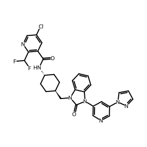 O=C(N[C@H]1CC[C@H](Cn2c(=O)n(-c3cncc(-n4cccn4)c3)c3ccccc32)CC1)c1cc(Cl)cnc1C(F)F